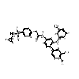 O=C(Cc1ccc(S(=O)(=O)NC2CC2)cc1)Nc1ccc(-c2ccc(F)c(F)c2)c(Oc2cccc(Cl)c2)c1